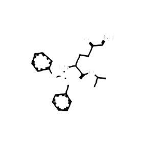 CC(C)OC(=O)C(CCC(=O)C=N)NP(Oc1ccccc1)Oc1ccccc1